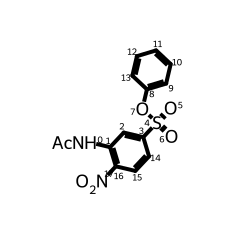 CC(=O)Nc1cc(S(=O)(=O)Oc2ccccc2)ccc1[N+](=O)[O-]